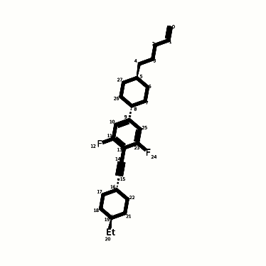 C=CCCC[C@H]1CC[C@H](c2cc(F)c(C#C[C@H]3CC[C@H](CC)CC3)c(F)c2)CC1